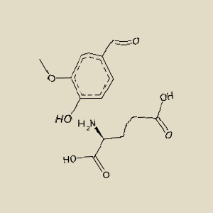 COc1cc(C=O)ccc1O.N[C@@H](CCC(=O)O)C(=O)O